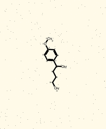 COc1ccc(C(O)CCCO)cc1